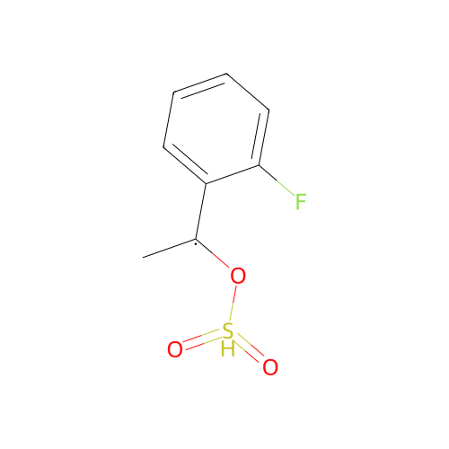 C[C](O[SH](=O)=O)c1ccccc1F